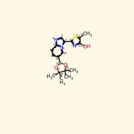 Cc1sc(-c2cnc3ccc(B4OC(C)(C)C(C)(C)O4)cn23)nc1O